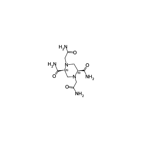 NC(=O)CN1C[C@@H](C(N)=O)N(CC(N)=O)C[C@H]1C(N)=O